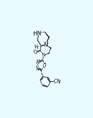 N#Cc1cccc(-c2nnc(N3CCN4CCNC[C@@H]4C3=O)o2)c1